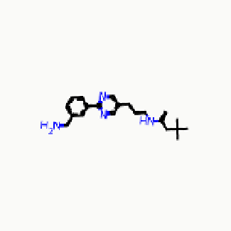 C=C(CC(C)(C)C)NCCCc1cnc(-c2cccc(CN)c2)nc1